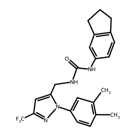 Cc1ccc(-n2nc(C(F)(F)F)cc2CNC(=O)Nc2ccc3c(c2)CCC3)cc1C